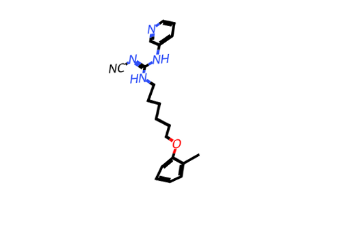 Cc1ccccc1OCCCCCCN/C(=N\C#N)Nc1cccnc1